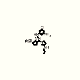 CCCN[C@H]1CCN(c2nc(Nc3cc(N)cc(Cl)c3)nc3c2CCC3)C1.Cl.Cl